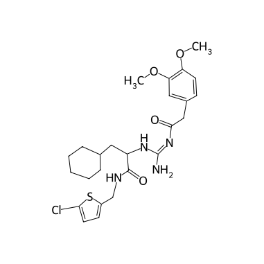 COc1ccc(CC(=O)N=C(N)NC(CC2CCCCC2)C(=O)NCc2ccc(Cl)s2)cc1OC